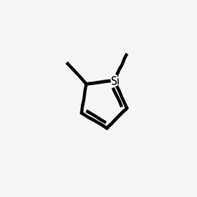 CC1C=CC=[Si]1C